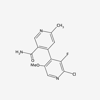 COc1cnc(Cl)c(F)c1-c1cc(C)ncc1C(N)=O